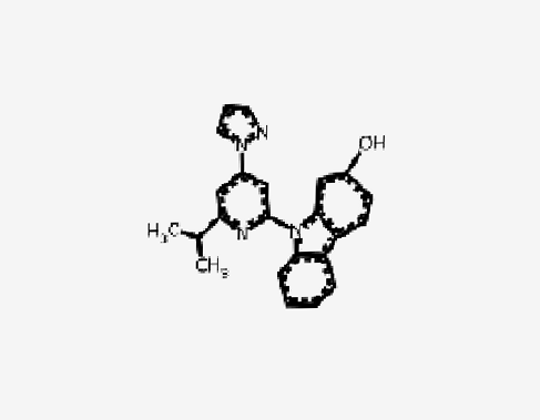 CC(C)c1cc(-n2cccn2)cc(-n2c3ccccc3c3ccc(O)cc32)n1